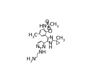 Cc1cc(NS(C)(=O)=O)c(Cl)c(-c2nc(C3(C)CC3)[nH]c2-c2ccnc(NCCN)n2)c1